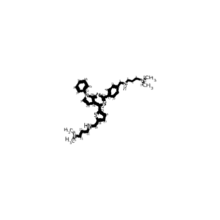 CN(C)CCCNCc1ccc(-c2nc(-c3ccc(CNCCCN(C)C)s3)c3ccn(-c4ccccc4)c3n2)cc1